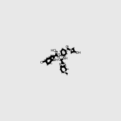 CN1CCc2nc(C(=O)N[C@@H]3C[C@@H](C(=O)N4CC(O)C4)CC[C@@H]3NC(=O)c3cc4cc(Cl)ccc4[nH]3)sc2C1.Cl